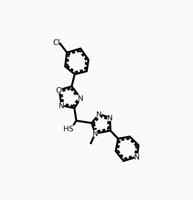 Cn1c(-c2ccncc2)nnc1C(S)c1noc(-c2cccc(Cl)c2)n1